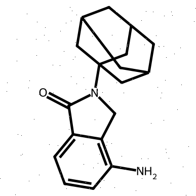 Nc1cccc2c1CN(C13CC4CC(CC(C4)C1)C3)C2=O